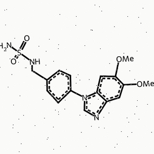 COc1cc2ncn(-c3ccc(CNS(N)(=O)=O)cc3)c2cc1OC